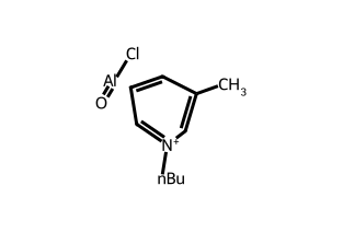 CCCC[n+]1cccc(C)c1.[O]=[Al][Cl]